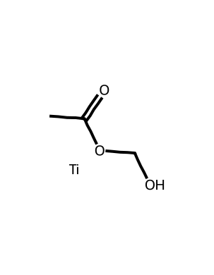 CC(=O)OCO.[Ti]